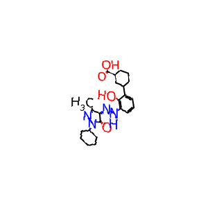 CC1=NN(C2CCCCC2)C(=O)C1=NNc1cccc(C2CCCC(C(=O)O)C2)c1O